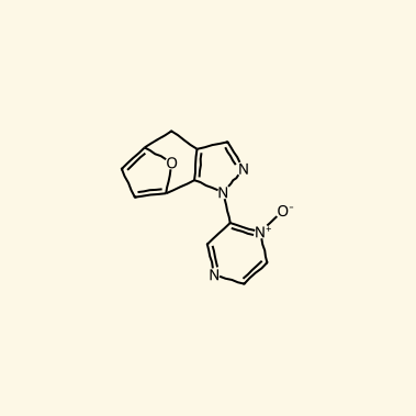 [O-][n+]1ccncc1-n1ncc2c1-c1ccc(o1)C2